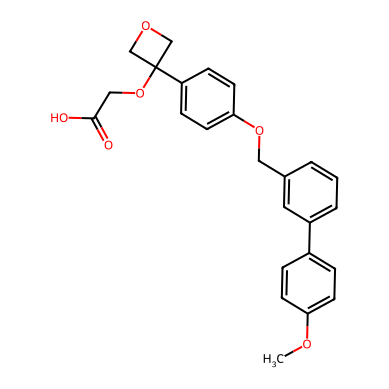 COc1ccc(-c2cccc(COc3ccc(C4(OCC(=O)O)COC4)cc3)c2)cc1